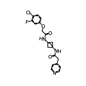 O=C(COc1ccc(Cl)c(F)c1)NC12CC(NC(=O)Cc3ccncc3)(C1)C2